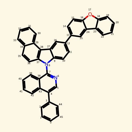 c1ccc(-c2cnc(-n3c4ccc(-c5ccc6oc7ccccc7c6c5)cc4c4c5ccccc5ccc43)c3ccccc23)cc1